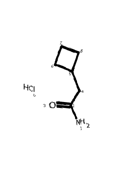 Cl.NC(=O)CC1CCC1